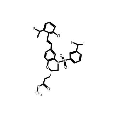 COC(=O)CC[C@H]1CN(S(=O)(=O)c2cccc(C(F)F)c2)c2cc(/C=C/c3c(Cl)cccc3C(F)F)ccc2O1